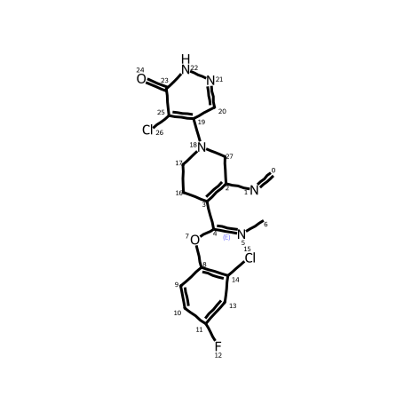 C=NC1=C(/C(=N\C)Oc2ccc(F)cc2Cl)CCN(c2cn[nH]c(=O)c2Cl)C1